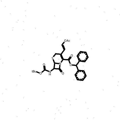 CC(=O)O/C=C/C1=C(C(=O)OC(c2ccccc2)c2ccccc2)N2C(=O)C(NC(=O)OC(C)(C)C)C2SC1